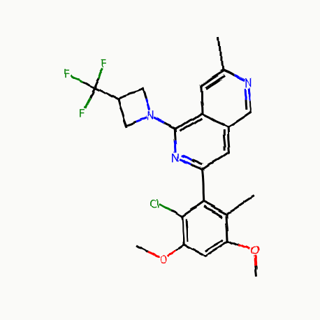 COc1cc(OC)c(Cl)c(-c2cc3cnc(C)cc3c(N3CC(C(F)(F)F)C3)n2)c1C